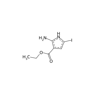 CCOC(=O)c1cc(I)[nH]c1N